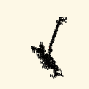 CCc1cc(OCCCCn2cc(COCCOCCOCCOCCOCCOCCOCCOCCNC(=O)CC[C@H](N)C(=O)O)nn2)ccc1-c1ccc(C[C@H](NC(=O)[C@H](CC(=O)O)NC(=O)[C@H](CO)NC(=O)[C@@H](NC(=O)C(C)(Cc2ccccc2F)NC(=O)[C@@H](NC(=O)CNC(=O)[C@H](Cc2nn[nH]n2)NC(=O)C(C)(C)C(=O)NCCc2cnc[nH]2)[C@@H](C)O)[C@@H](C)O)C(=O)N[C@@H](CCCc2cc(C)cc(C)c2)C(N)=O)cc1